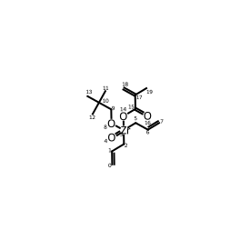 C=C[CH2][Zr](=[O])([CH2]C=C)([O]CC(C)(C)C)[O]C(=O)C(=C)C